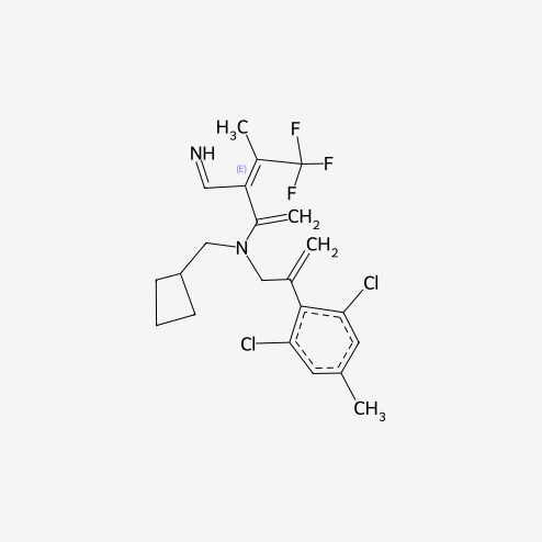 C=C(CN(CC1CCC1)C(=C)/C(C=N)=C(/C)C(F)(F)F)c1c(Cl)cc(C)cc1Cl